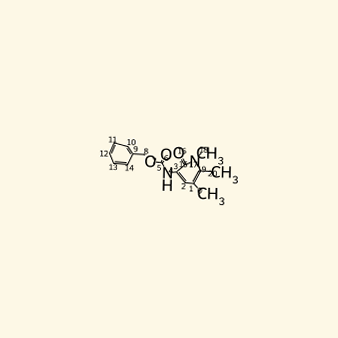 Cc1cc(NC(=O)OCc2ccccc2)c(=O)n(C)c1C